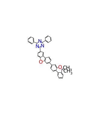 CC1(C)Oc2cc(-c3ccc4c(c3)oc3ccc(-c5nc(-c6ccccc6)nc(-c6ccccc6)n5)cc34)ccc2-c2ccccc21